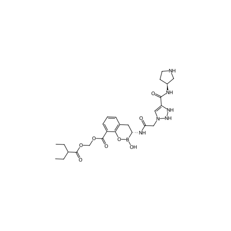 CCC(CC)C(=O)OCOC(=O)c1cccc2c1OB(O)[C@@H](NC(=O)CN1C=C(C(=O)N[C@H]3CCNC3)NN1)C2